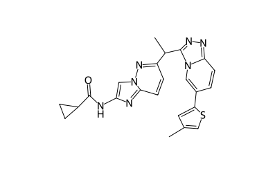 Cc1csc(-c2ccc3nnc(C(C)c4ccc5nc(NC(=O)C6CC6)cn5n4)n3c2)c1